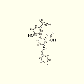 CC(O)Cc1cc(OCc2ccccc2)ccc1-c1cc(C(=O)O)ccc1O